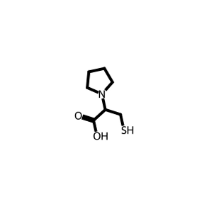 O=C(O)C(CS)N1CCCC1